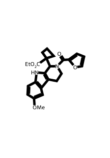 CCOC(=O)C1(C2c3[nH]c4ccc(OC)cc4c3CCN2C(=O)c2ccco2)CCC1